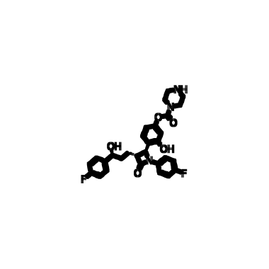 O=C(Oc1ccc([C@@H]2[C@@H](CC[C@H](O)c3ccc(F)cc3)C(=O)N2c2ccc(F)cc2)c(O)c1)N1CCNCC1